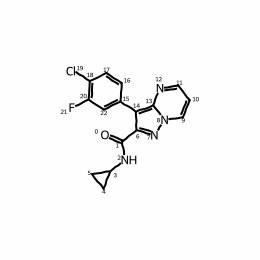 O=C(NC1CC1)c1nn2cccnc2c1-c1ccc(Cl)c(F)c1